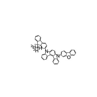 [2H]C([2H])([2H])C1(C)c2ccccc2-c2ccc(-n3c4ccccc4c4c5c6ccccc6n(-c6ccc7c(c6)oc6ccccc67)c5ccc43)cc21